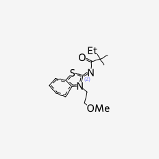 CCC(C)(C)C(=O)/N=c1\sc2ccccc2n1CCOC